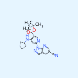 CC(C)(C)OC(=O)c1cnc(-n2ncc3cc(C#N)cnc32)cc1NC1CCCC1